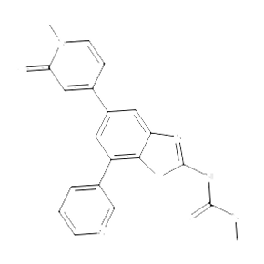 CCNC(=O)Nc1nc2cc(-c3ccn(C)c(=O)c3)cc(-c3cccnc3)c2s1